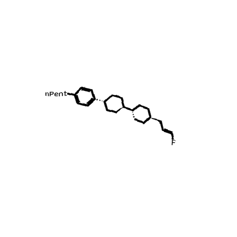 CCCCCc1ccc([C@H]2CC[C@H]([C@H]3CC[C@H](CC=CF)CC3)CC2)cc1